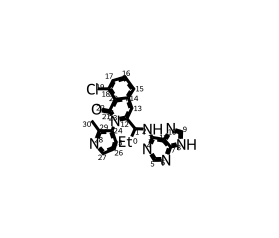 CCC(Nc1ncnc2[nH]cnc12)c1cc2cccc(Cl)c2c(=O)n1-c1cccnc1C